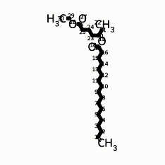 CCCCCCCCCCCCCCCCCC(=O)OC(CC)CCCC(=O)OCC